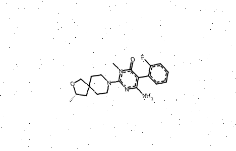 C[C@H]1CC2(CCN(c3nc(N)c(-c4ccccc4F)c(=O)n3C)CC2)CO1